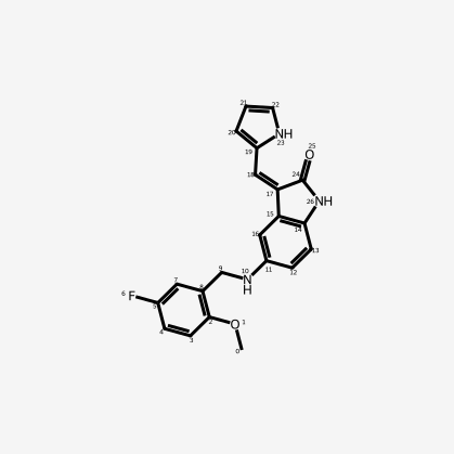 COc1ccc(F)cc1CNc1ccc2c(c1)/C(=C/c1ccc[nH]1)C(=O)N2